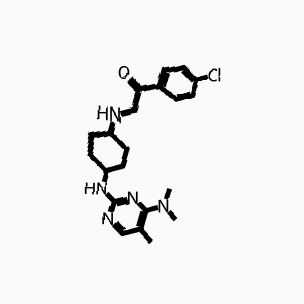 Cc1cnc(NC2CCC(NCC(=O)c3ccc(Cl)cc3)CC2)nc1N(C)C